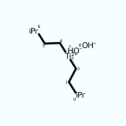 CC(C)C[CH2][Ti+2][CH2]CC(C)C.[OH-].[OH-]